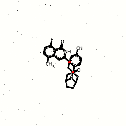 Cc1ccc(F)c2c(=O)[nH]c(CCC(=O)N3C4CCC3CN(c3ccc(C#N)cn3)C4)cc12